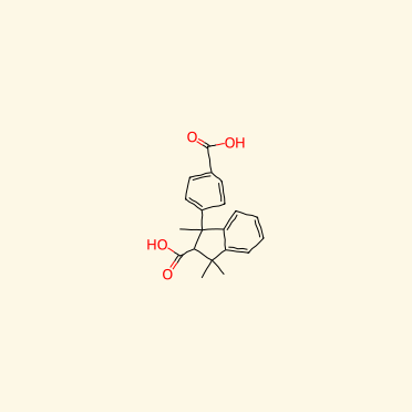 CC1(C)c2ccccc2C(C)(c2ccc(C(=O)O)cc2)C1C(=O)O